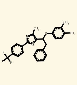 Cc1ccc(SC(Cc2ccccc2)c2sc(-c3ccc(C(F)(F)F)cc3)nc2C)cc1C